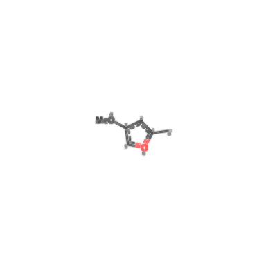 [CH2]c1cc(OC)co1